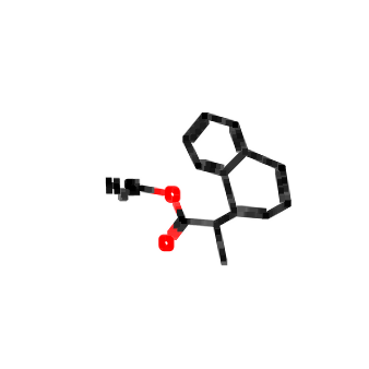 CC(C(=O)O[SiH3])c1cccc2ccccc12